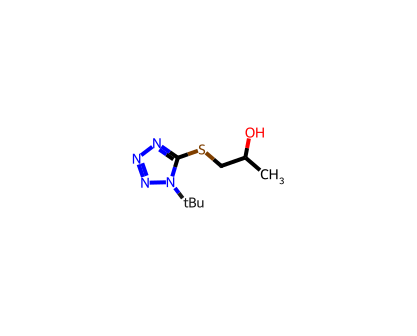 CC(O)CSc1nnnn1C(C)(C)C